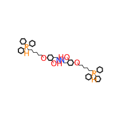 Oc1cc(OCCCCCC[PH](c2ccccc2)(c2ccccc2)c2ccccc2)ccc1/C=N/N=C/c1ccc(OCCCCCC[PH](c2ccccc2)(c2ccccc2)c2ccccc2)cc1O